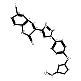 COC1CCC(Oc2ccc(-n3cc(-c4cc5cc(F)ccc5[nH]c4=O)nn3)cc2)C1